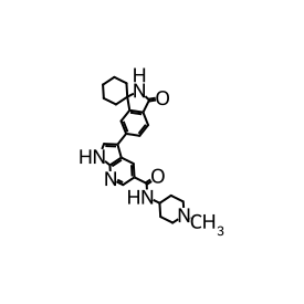 CN1CCC(NC(=O)c2cnc3[nH]cc(-c4ccc5c(c4)C4(CCCCC4)NC5=O)c3c2)CC1